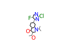 CC(=O)c1cn(C(C)C)c2cc(-c3nc(Cl)ncc3F)ccc2c1=O